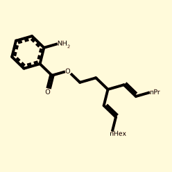 CCCC=CC(C=CCCCCCC)CCOC(=O)c1ccccc1N